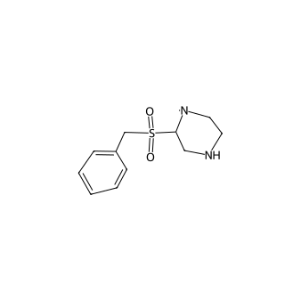 O=S(=O)(Cc1ccccc1)C1CNCC[N]1